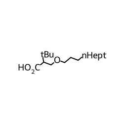 CCCCCCCCCCOCC(C(=O)O)C(C)(C)C